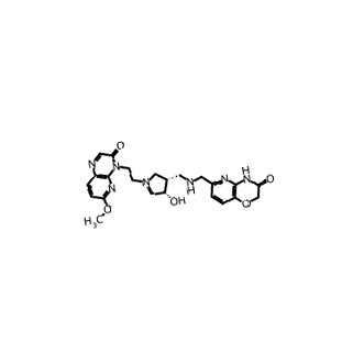 COc1ccc2ncc(=O)n(CCN3C[C@H](CNCc4ccc5c(n4)NC(=O)CO5)[C@H](O)C3)c2n1